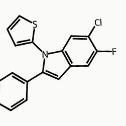 Fc1cc2cc(-c3ccccc3)n(-c3cccs3)c2cc1Cl